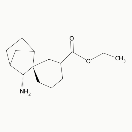 CCOC(=O)C1CCC[C@]2(C1)C1CCC(C1)[C@H]2N